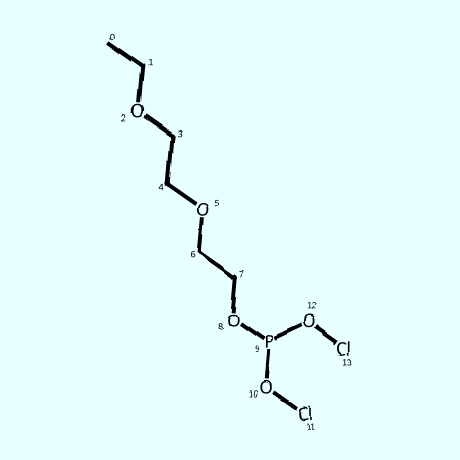 CCOCCOCCOP(OCl)OCl